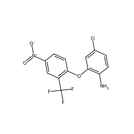 Nc1ccc(Cl)cc1Oc1ccc([N+](=O)[O-])cc1C(F)(F)F